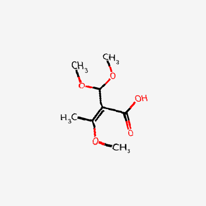 COC(C)=C(C(=O)O)C(OC)OC